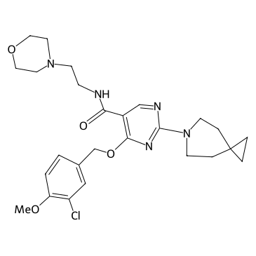 COc1ccc(COc2nc(N3CCC4(CC3)CC4)ncc2C(=O)NCCN2CCOCC2)cc1Cl